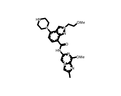 COCCn1cc2c(N3CCNCC3)ccc(C(=O)Nc3cn4cc(C)nc4c(OC)n3)c2n1